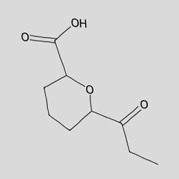 CCC(=O)C1CCCC(C(=O)O)O1